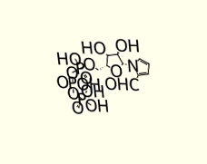 O=Cc1cccn1[C@@H]1O[C@H](COP(=O)(O)OP(=O)(O)OP(=O)(O)O)[C@@H](O)[C@H]1O